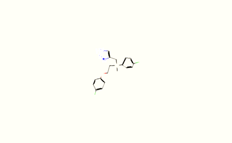 C[Si](CCOc1ccc(Cl)cc1)(Cc1c[nH]nn1)c1ccc(Cl)cc1